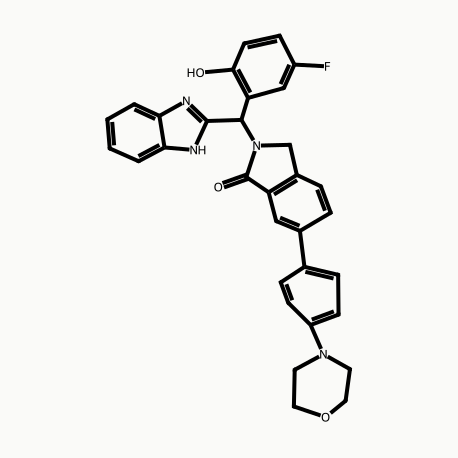 O=C1c2cc(-c3ccc(N4CCOCC4)cc3)ccc2CN1C(c1nc2ccccc2[nH]1)c1cc(F)ccc1O